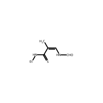 CCNC(=S)/C(C)=C\NC=O